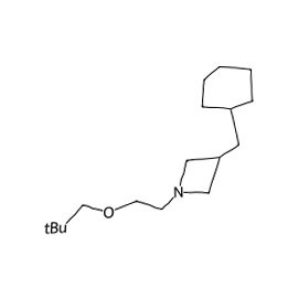 CC(C)(C)COCCN1CC(CC2CCCCC2)C1